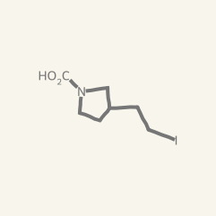 O=C(O)N1CCC(CCI)C1